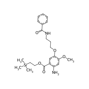 COc1cc(N)c(C(=O)OCC[Si](C)(C)C)cc1OCCCNC(=O)c1ccccc1